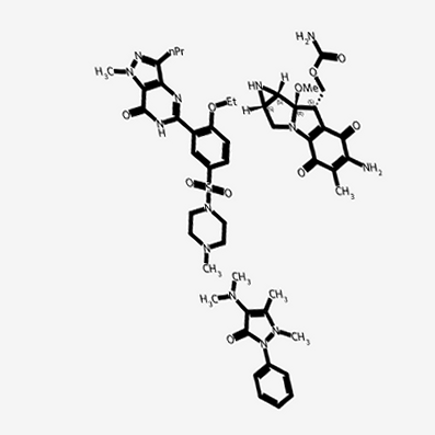 CCCc1nn(C)c2c(=O)[nH]c(-c3cc(S(=O)(=O)N4CCN(C)CC4)ccc3OCC)nc12.CO[C@@]12[C@H](COC(N)=O)C3=C(C(=O)C(C)=C(N)C3=O)N1C[C@@H]1N[C@@H]12.Cc1c(N(C)C)c(=O)n(-c2ccccc2)n1C